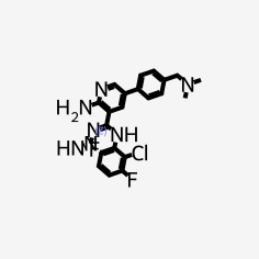 CN(C)Cc1ccc(-c2cnc(N)c(/C(=N/N=N)Nc3c(F)ccc(F)c3Cl)c2)cc1